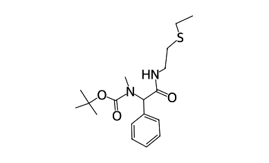 CCSCCNC(=O)C(c1ccccc1)N(C)C(=O)OC(C)(C)C